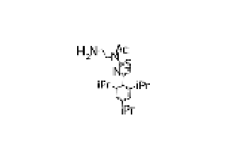 CC(=O)N(CCN)c1nc(-c2c(C(C)C)cc(C(C)C)cc2C(C)C)cs1